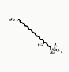 CCCCCC=CCC=CCCCCCCCCC(O)CCCO[Si](C)(C)C(C)(C)C